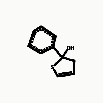 OC1(c2ccccc2)CC=CS1